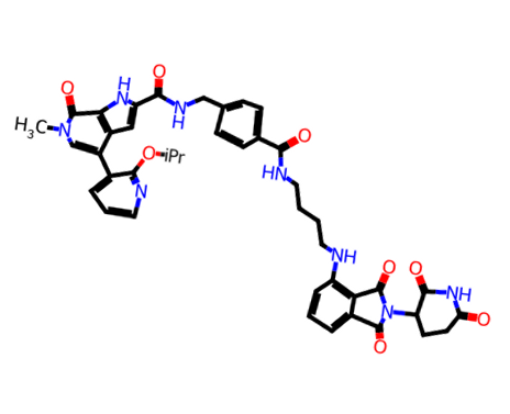 CC(C)Oc1ncccc1-c1cn(C)c(=O)c2[nH]c(C(=O)NCc3ccc(C(=O)NCCCCNc4cccc5c4C(=O)N(C4CCC(=O)NC4=O)C5=O)cc3)cc12